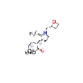 C=c1/c(=C(\C=C/C)C(=O)OC)ccn1CC1CCO1